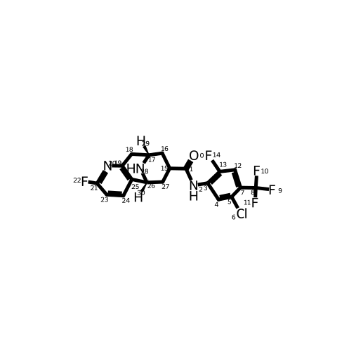 O=C(Nc1cc(Cl)c(C(F)(F)F)cc1F)C1C[C@H]2Cc3nc(F)ccc3[C@@H](C1)N2